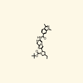 CCC1CC(c2cn3cc(NC(=O)c4ccc5c(C)nn(C)c5c4)ncc3n2)N(C(=O)OC(C)(C)C)C1